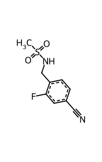 CS(=O)(=O)NCc1ccc(C#N)cc1F